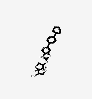 OC1CO[C@@H]2C(Oc3nc4cc(-c5ccc(-c6ccccc6)cc5)ncc4[nH]3)CO[C@H]12